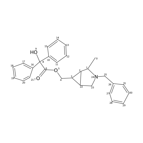 CC1C2C(COC(=O)C(O)(c3ccccc3)c3ccccc3)C2CN1Cc1ccccc1